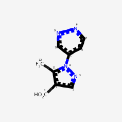 O=C(O)c1cnn(-c2ccnnc2)c1C(F)(F)F